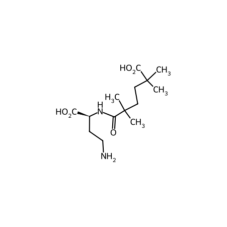 CC(C)(CCC(C)(C)C(=O)N[C@@H](CCN)C(=O)O)C(=O)O